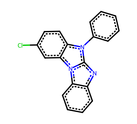 Clc1ccc2c(c1)n1c3ccccc3nc1n2-c1ccccc1